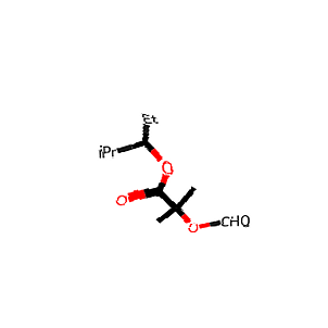 CCC(OC(=O)C(C)(C)OC=O)C(C)C